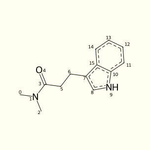 CN(C)C(=O)CCc1c[nH]c2ccccc12